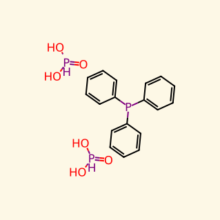 O=[PH](O)O.O=[PH](O)O.c1ccc(P(c2ccccc2)c2ccccc2)cc1